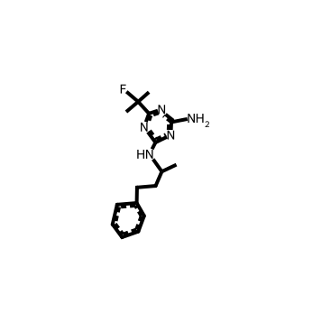 CC(CCc1ccccc1)Nc1nc(N)nc(C(C)(C)F)n1